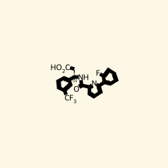 O=C(O)C[C@H](NC(=O)c1cccc(-c2ccccc2F)n1)c1cccc(C(F)(F)F)c1